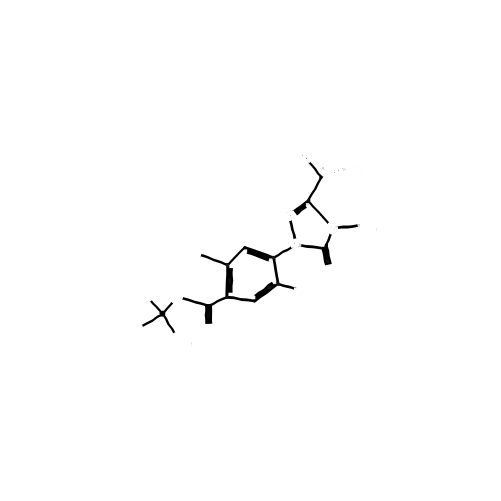 C[C@@H](N)c1nn(-c2cc(F)c(C(=O)OC(C)(C)C)cc2F)c(=O)n1C